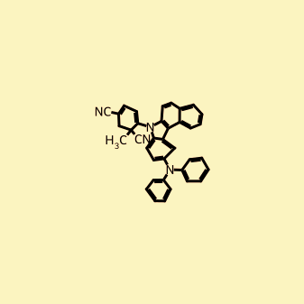 CC1(C#N)CC(C#N)=CC=C1n1c2ccc(N(c3ccccc3)c3ccccc3)cc2c2c3ccccc3ccc21